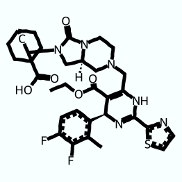 CCOC(=O)C1=C(CN2CCN3C(=O)N(C4CC5CCC4(C(=O)O)CC5)C[C@@H]3C2)NC(c2nccs2)=N[C@H]1c1ccc(F)c(F)c1C